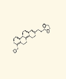 [O]Cc1cccc2c1CCc1c-2ccc2c1CCC(CCC1OCCO1)=C2